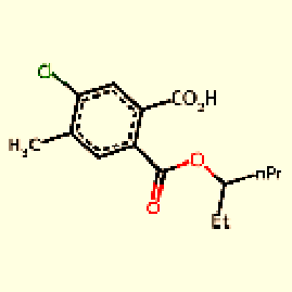 CCCC(CC)OC(=O)c1cc(C)c(Cl)cc1C(=O)O